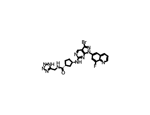 O=C(NCc1nnn[nH]1)[C@@H]1CC[C@@H](Nc2ncc3c(Br)nn(-c4cc(F)c5ncccc5c4)c3n2)C1